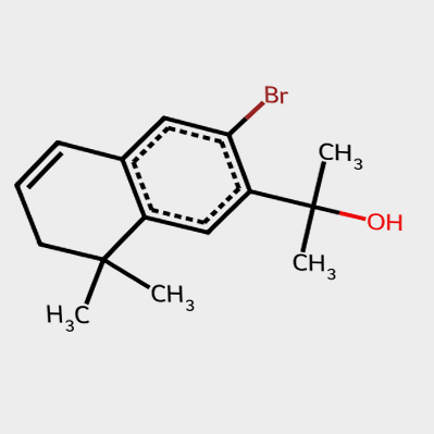 CC(C)(O)c1cc2c(cc1Br)C=CCC2(C)C